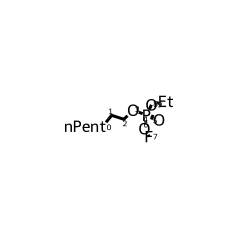 CCCCCCCOP(=O)(OF)OCC